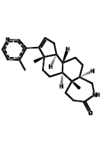 Cc1ccncc1C1=CC[C@H]2[C@@H]3CC[C@H]4CNC(=O)CC[C@]4(C)[C@H]3CC[C@]12C